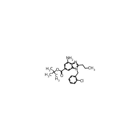 CCCc1nc2c(N)cc(C(=O)OC(C)(C)C)cc2n1Cc1ccccc1Cl